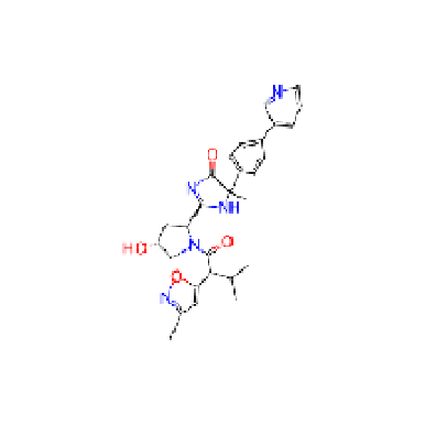 Cc1cc(C(C(=O)N2C[C@H](O)C[C@H]2C2=NC(=O)C(C)(c3ccc(-c4cccnc4)cc3)N2)C(C)C)on1